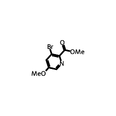 COC(=O)c1ncc(OC)cc1Br